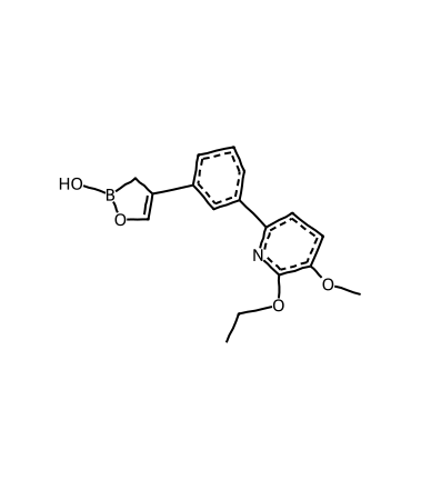 CCOc1nc(-c2cccc(C3=COB(O)C3)c2)ccc1OC